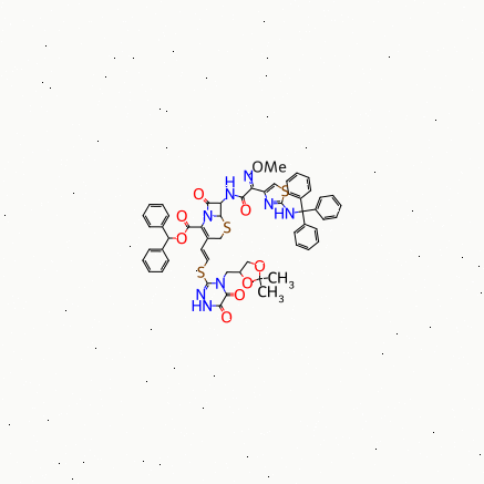 CON=C(C(=O)NC1C(=O)N2C(C(=O)OC(c3ccccc3)c3ccccc3)=C(C=CSc3n[nH]c(=O)c(=O)n3CC3COC(C)(C)O3)CSC12)c1csc(NC(c2ccccc2)(c2ccccc2)c2ccccc2)n1